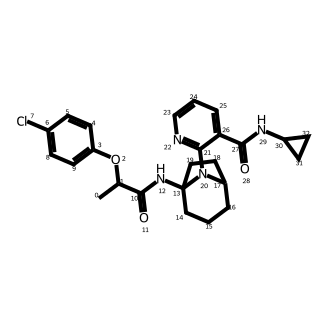 CC(Oc1ccc(Cl)cc1)C(=O)NC12CCCC(CC1)N2c1ncccc1C(=O)NC1CC1